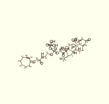 C[C@@H]1C[C@H]2[C@@H]3CCC4=CC(=O)C=C[C@]4(C)[C@@]3(F)[C@@H](O)C[C@]2(C)[C@@]1(O)C(=O)COP(=O)(OCCNC(=O)COC1C#CCCCCC1)OP(=O)(O)O